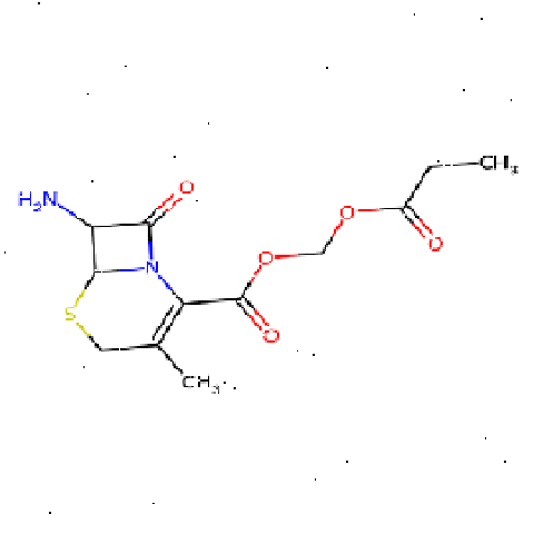 CCC(=O)OCOC(=O)C1=C(C)CSC2C(N)C(=O)N12